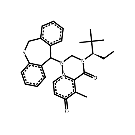 CC[C@@H](N1CN(C2c3ccccc3CSc3ccccc32)n2ccc(=O)c(C)c2C1=O)C(C)(C)C